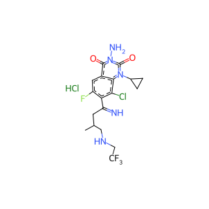 CC(CNCC(F)(F)F)CC(=N)c1c(F)cc2c(=O)n(N)c(=O)n(C3CC3)c2c1Cl.Cl